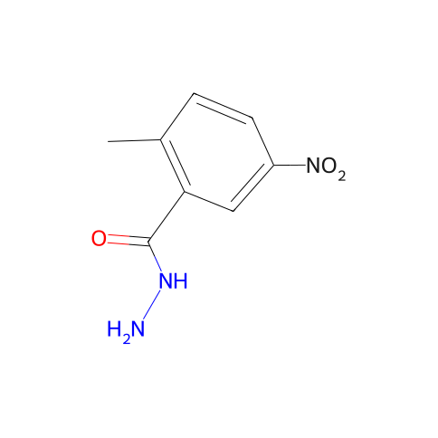 Cc1ccc([N+](=O)[O-])cc1C(=O)NN